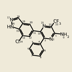 Nc1nc(-c2ccccc2)c(-c2cc(Cl)c3[nH]ncc3c2)nc1C(F)(F)F